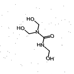 O=C(NCO)N(CO)CO